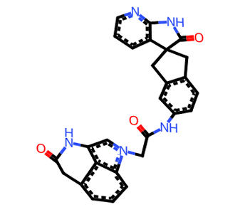 O=C(Cn1cc2c3c(cccc31)CC(=O)N2)Nc1ccc2c(c1)CC1(C2)C(=O)Nc2ncccc21